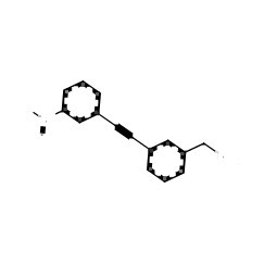 NCc1cccc(C#Cc2cccc([N+](=O)[O-])c2)c1